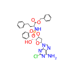 Nc1nc(Cl)nc2c1ncn2[C@H]1CC(OP(=O)(N[C@@H](CCc2ccccc2)C(=O)OCc2ccccc2)Oc2ccccc2)[C@@H](CO)O1